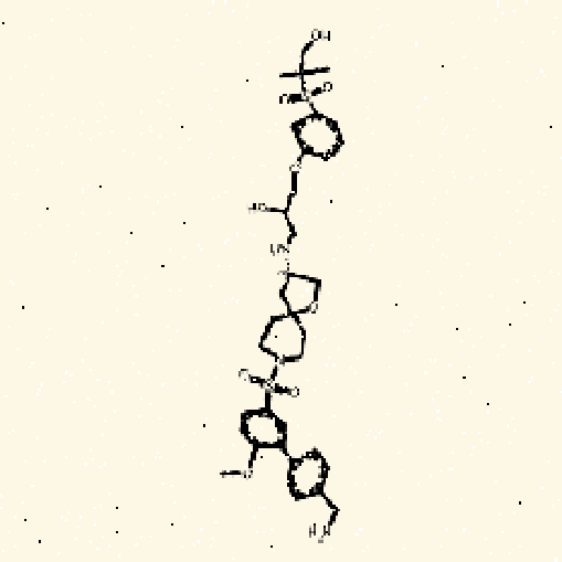 COc1ccc(S(=O)(=O)N2CCC3(CC2)C[C@H](NCC(O)COc2cccc(S(=O)(=O)C(C)(C)CO)c2)CO3)cc1-c1ccc(CN)cc1